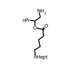 CCCCCCCCCCCC(=O)OC(CN)CCC